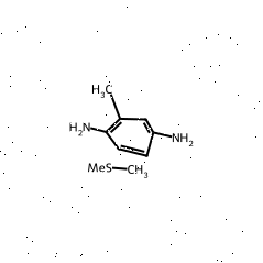 CSC.Cc1cc(N)ccc1N